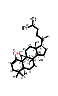 CCC(CC[C@@H](C)[C@H]1CC[C@@]2(C)[C@@H]3CC[C@H]4C(C)(C)CC=C(O)[C@@]45C[C@@]35CC[C@]12C)C(C)C